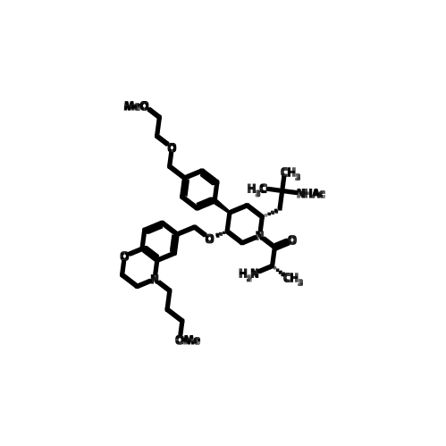 COCCCN1CCOc2ccc(CO[C@H]3CN(C(=O)[C@H](C)N)[C@@H](CC(C)(C)NC(C)=O)C[C@@H]3c3ccc(COCCOC)cc3)cc21